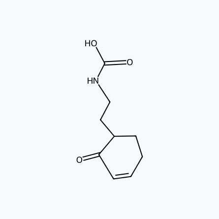 O=C(O)NCCC1CCC=CC1=O